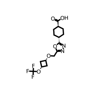 O=C(O)[C@H]1CC[C@H](c2nnc(CO[C@H]3C[C@@H](OC(F)(F)F)C3)o2)CC1